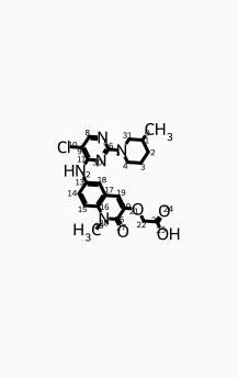 CC1CCCN(c2ncc(Cl)c(Nc3ccc4c(c3)cc(OCC(=O)O)c(=O)n4C)n2)C1